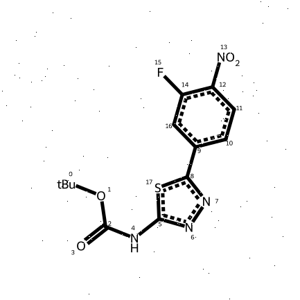 CC(C)(C)OC(=O)Nc1nnc(-c2ccc([N+](=O)[O-])c(F)c2)s1